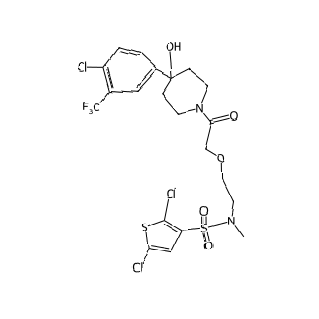 CN(CCOCC(=O)N1CCC(O)(c2ccc(Cl)c(C(F)(F)F)c2)CC1)S(=O)(=O)c1cc(Cl)sc1Cl